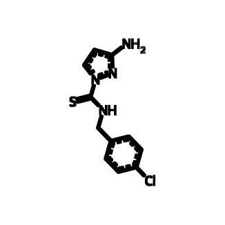 Nc1ccn(C(=S)NCc2ccc(Cl)cc2)n1